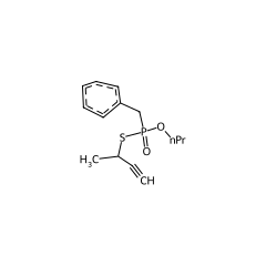 C#CC(C)SP(=O)(Cc1ccccc1)OCCC